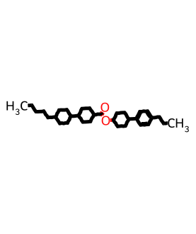 CCCCCC1CCC(C2CCC(C(=O)OC3CCC(c4ccc(CCC)cc4)CC3)CC2)CC1